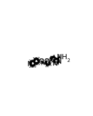 Nc1ncnc2c1ccn2[C@H]1CC[C@@H](COc2ccc3cnccc3c2)O1